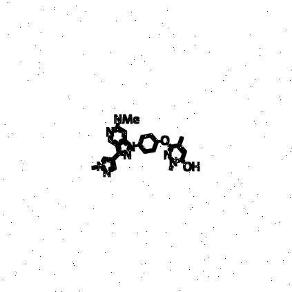 CNc1cc2c(cn1)c(-c1cnn(C)c1)nn2[C@H]1CC[C@@H](OC2=NN(C)C(O)C=C2C)CC1